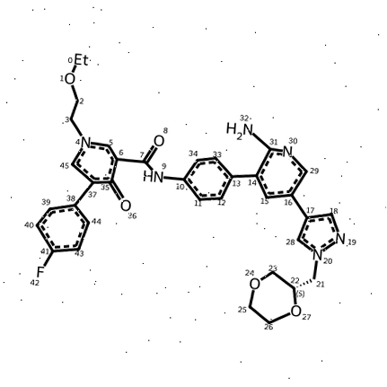 CCOCCn1cc(C(=O)Nc2ccc(-c3cc(-c4cnn(C[C@H]5COCCO5)c4)cnc3N)cc2)c(=O)c(-c2ccc(F)cc2)c1